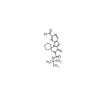 CC(C)(C)OC(=O)N1CC2(CCCCC2)n2c(cc3cnc(C(=O)Cl)nc32)C1=O